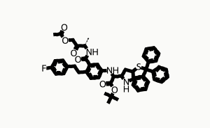 CC(=O)OCC(=O)[C@H](C)NC(=O)c1cc(NC(C(=O)OC(C)(C)C)C2CC(SC(c3ccccc3)(c3ccccc3)c3ccccc3)CN2)ccc1CCc1ccc(F)cc1